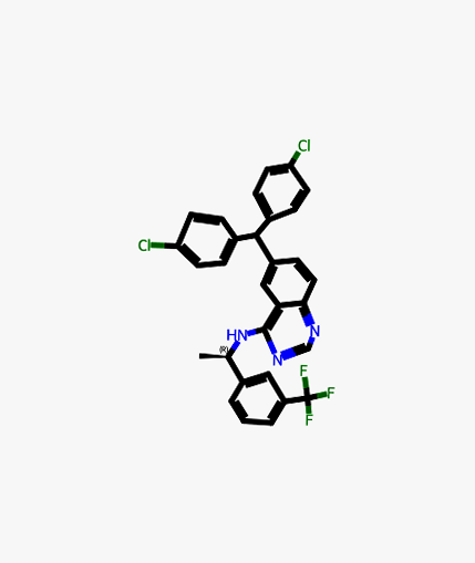 C[C@@H](Nc1ncnc2ccc(C(c3ccc(Cl)cc3)c3ccc(Cl)cc3)cc12)c1cccc(C(F)(F)F)c1